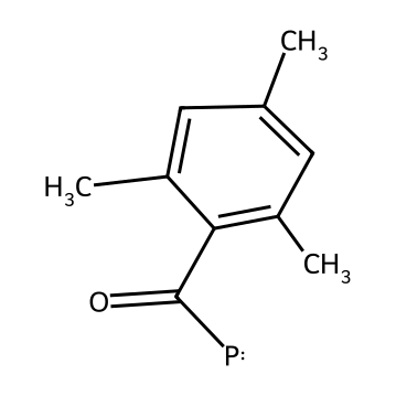 Cc1cc(C)c(C(=O)[P])c(C)c1